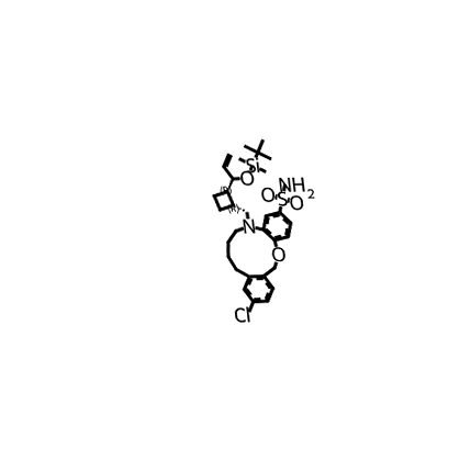 C=CC(O[Si](C)(C)C(C)(C)C)[C@@H]1CC[C@H]1CN1CCCCc2cc(Cl)ccc2COc2ccc(S(N)(=O)=O)cc21